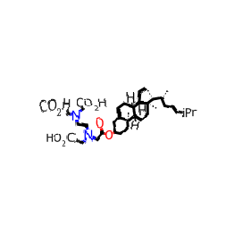 CC(C)CCC[C@@H](C)[C@H]1CC[C@H]2[C@@H]3CC=C4CC(OC(=O)CN(CCN(CC(=O)O)CC(=O)O)CC(=O)O)CC[C@]4(C)[C@H]3CC[C@]12C